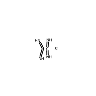 N=C=N.N=C=N.[Si]